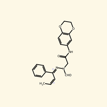 C/C=C\C(=N/N(C=O)CC(=O)Nc1ccc2c(c1)OCCO2)c1ccccc1